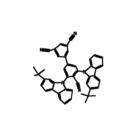 CC(C)(C)c1ccc2c3ccccc3n(-c3cc(-c4cc(C#N)cc(C#N)c4)cc(-n4c5ccccc5c5ccc(C(C)(C)C)cc54)c3C#N)c2c1